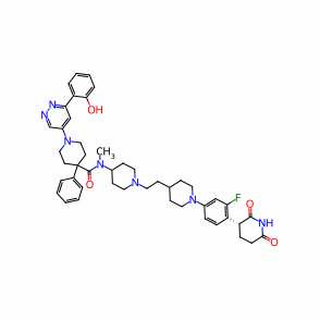 CN(C(=O)C1(c2ccccc2)CCN(c2cnnc(-c3ccccc3O)c2)CC1)C1CCN(CCC2CCN(c3ccc([C@H]4CCC(=O)NC4=O)c(F)c3)CC2)CC1